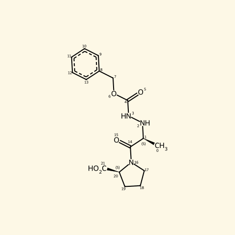 C[C@H](NNC(=O)OCc1ccccc1)C(=O)N1CCC[C@H]1C(=O)O